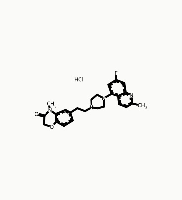 Cc1ccc2c(N3CCN(CCc4ccc5c(c4)N(C)C(=O)CO5)CC3)cc(F)cc2n1.Cl